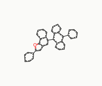 c1ccc(-c2cc3cc(-c4c5ccccc5c(-c5ccccc5)c5ccccc45)c4ccccc4c3o2)cc1